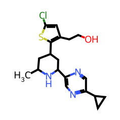 CC1CC(c2sc(Cl)cc2CCO)CC(c2cnc(C3CC3)cn2)N1